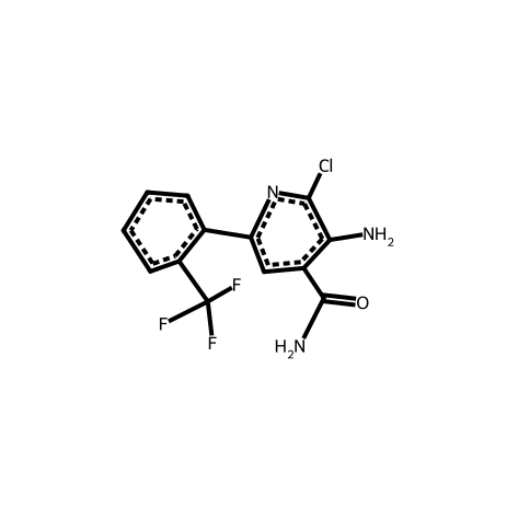 NC(=O)c1cc(-c2ccccc2C(F)(F)F)nc(Cl)c1N